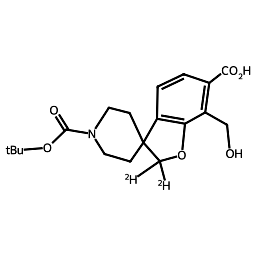 [2H]C1([2H])Oc2c(ccc(C(=O)O)c2CO)C12CCN(C(=O)OC(C)(C)C)CC2